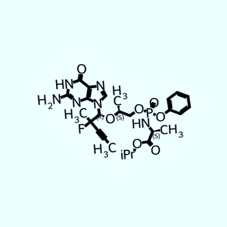 CC#CC(C)(F)[C@@H](O[C@@H](C)COP(=O)(N[C@@H](C)C(=O)OC(C)C)Oc1ccccc1)n1cnc2c(=O)[nH]c(N)nc21